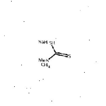 C.CNC(=S)S.[NaH]